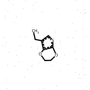 CCc1csc2c1OCCO2